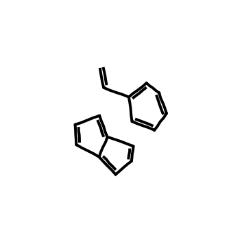 C1=CC2=CC=CC2=C1.C=Cc1ccccc1